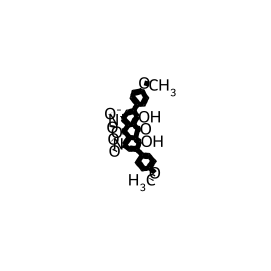 COc1ccc(-c2cc([N+](=O)[O-])c3c(c2O)C(=O)c2c(O)c(-c4ccc(OC)cc4)cc([N+](=O)[O-])c2C3=O)cc1